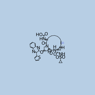 O=C(O)N[C@H]1CCCCC/C=C\[C@@H]2C[C@@]2(C(=O)NS(=O)(=O)C2CC2)NC(=O)[C@@H]2C[C@@H](Oc3nc4ccccc4nc3-c3cccs3)CN2C1=O